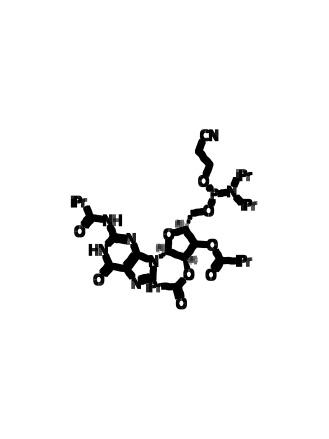 CC(C)C(=O)Nc1nc2c(ncn2[C@@H]2O[C@H](COP(OCCC#N)N(C(C)C)C(C)C)C(OC(=O)C(C)C)[C@H]2OC(=O)C(C)C)c(=O)[nH]1